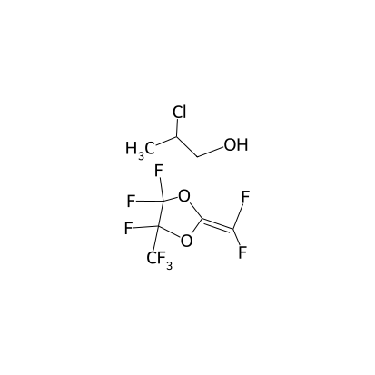 CC(Cl)CO.FC(F)=C1OC(F)(F)C(F)(C(F)(F)F)O1